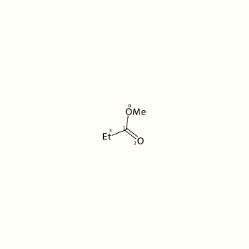 [CH]OC(=O)CC